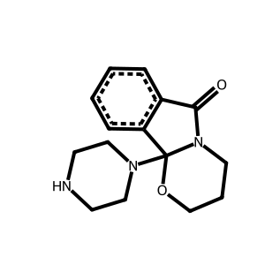 O=C1c2ccccc2C2(N3CCNCC3)OCCCN12